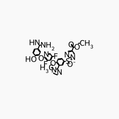 CCOC(=O)c1cnc([S+]([O-])c2ccc(Oc3c(F)cnc(Oc4cc(C(=N)N)ccc4O)c3F)c(C3N=CCN3C)c2)nc1